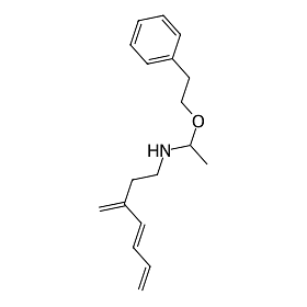 C=CC=CC(=C)CCNC(C)OCCc1ccccc1